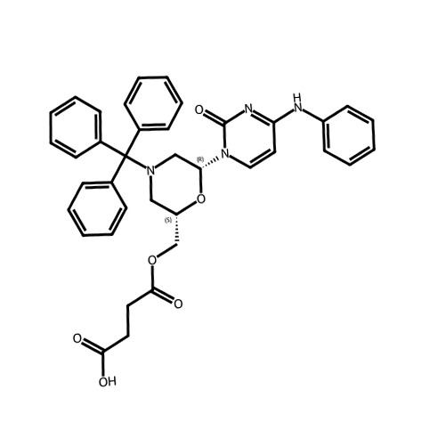 O=C(O)CCC(=O)OC[C@@H]1CN(C(c2ccccc2)(c2ccccc2)c2ccccc2)C[C@H](n2ccc(Nc3ccccc3)nc2=O)O1